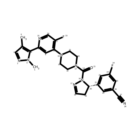 Cc1cnn(C)c1-c1cc(N2CCN(C(=O)N3N=CC[C@H]3c3cc(F)cc(C#N)c3)CC2)c(F)cn1